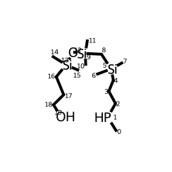 CPCCC[Si](C)(C)C[Si](C)(C)O[Si](C)(C)CCCO